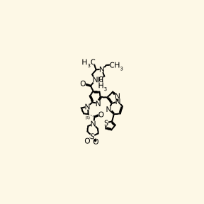 CCN(CC)C(C)CNC(=O)c1cc(-c2cnn3ccc(-c4cccs4)nc23)nc(N2CC[C@H]2C(=O)N2CCS(=O)(=O)CC2)c1